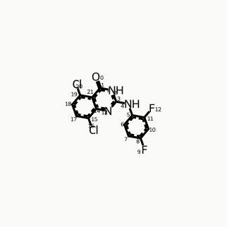 O=c1[nH]c(Nc2ccc(F)cc2F)nc2c(Cl)ccc(Cl)c12